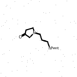 CCCCCCCCN1CCC(=O)C1